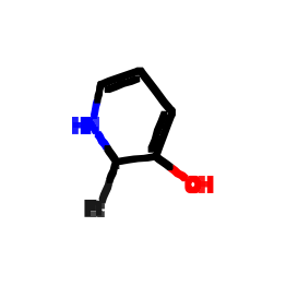 CC[C]1NC=CC=C1O